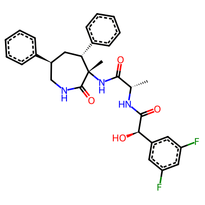 C[C@H](NC(=O)[C@H](O)c1cc(F)cc(F)c1)C(=O)N[C@]1(C)C(=O)NC[C@@H](c2ccccc2)C[C@@H]1c1ccccc1